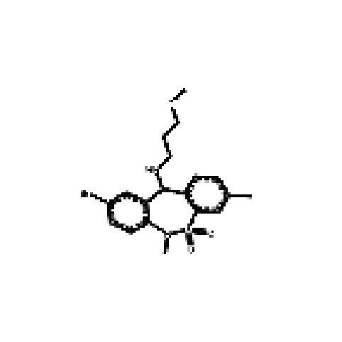 COCCCNC1c2cc(Br)ccc2N(C)S(=O)(=O)c2cc(C)ccc21